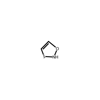 C1=CSNO1